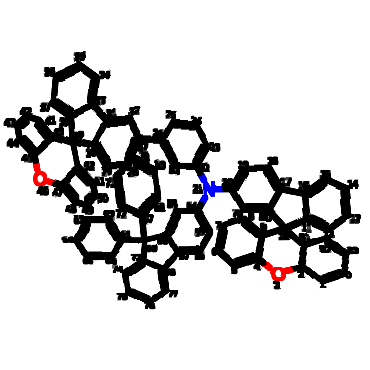 C1=CC2Oc3ccccc3C3(c4ccccc4-c4ccc(N(c5cccc(-c6ccc7c(c6)-c6ccccc6C76c7ccccc7Oc7ccccc76)c5)c5ccc6c(c5)C(c5ccccc5)(c5ccccc5)c5ccccc5-6)cc43)C2C=C1